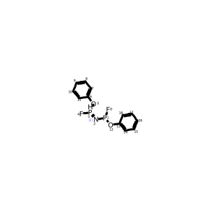 FP(/N=[PH](/F)Oc1ccccc1)Oc1ccccc1